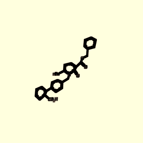 CCCCc1ccc(C(=O)OCc2ccccc2)c(=O)n1Cc1ccc(-c2ccccc2C(=O)O)cc1